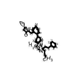 CCCCC1(CCc2ccccc2)N=C[N+](C)(c2ccc(-c3ccccc3/C=C3\NC(=O)CC3=O)cc2)N1